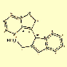 CCOC(=O)CC1=Cc2ccccc2C1C1=C2CC=CC=C2CC1